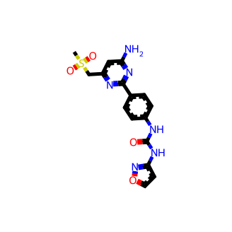 CS(=O)(=O)Cc1cc(N)nc(-c2ccc(NC(=O)Nc3ccon3)cc2)n1